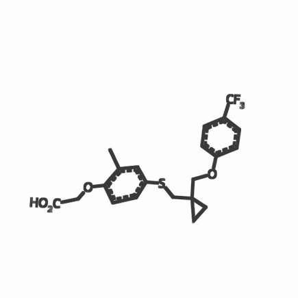 Cc1cc(SCC2(COc3ccc(C(F)(F)F)cc3)CC2)ccc1OCC(=O)O